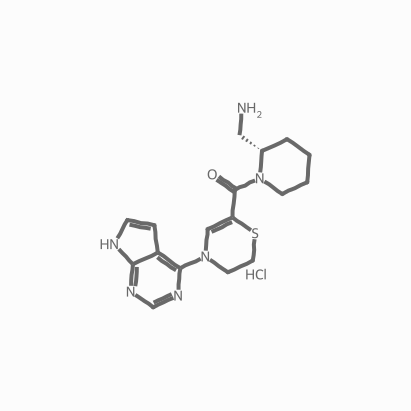 Cl.NC[C@@H]1CCCCN1C(=O)C1=CN(c2ncnc3[nH]ccc23)CCS1